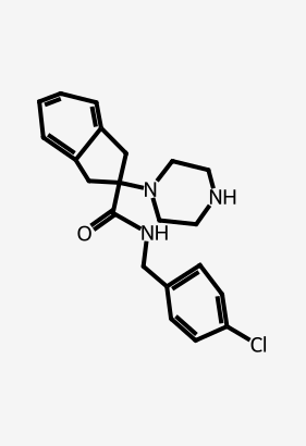 O=C(NCc1ccc(Cl)cc1)C1(N2CCNCC2)Cc2ccccc2C1